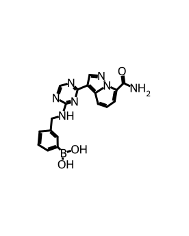 NC(=O)c1cccc2c(-c3ncnc(NCc4cccc(B(O)O)c4)n3)cnn12